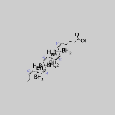 BC(B)(/C=C\CC)/C=C\C(B)(B)/C=C\C(B)(B)/C=C\C(B)(B)/C=C\CCCC(=O)O